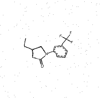 CCC1CC(=O)N(c2cccc(C(F)(F)F)c2)C1